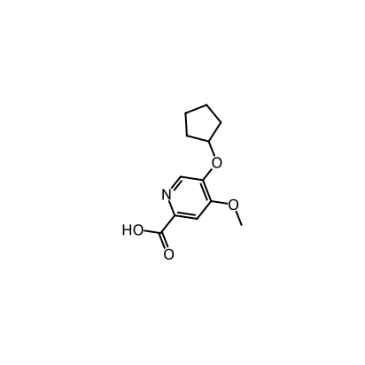 COc1cc(C(=O)O)ncc1OC1CCCC1